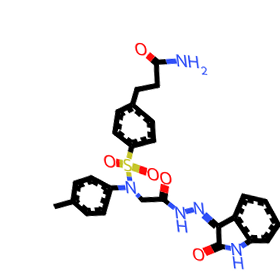 Cc1ccc(N(CC(=O)N/N=C2\C(=O)Nc3ccccc32)S(=O)(=O)c2ccc(CCC(N)=O)cc2)cc1